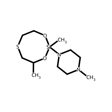 CC1CSCCO[Si](C)(N2CCN(C)CC2)O1